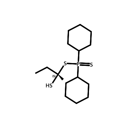 CC[C@@](C)(S)SP(=S)(C1CCCCC1)C1CCCCC1